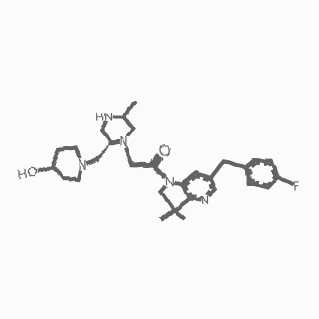 CC1CN(CC(=O)N2CC(C)(C)c3ncc(Cc4ccc(F)cc4)cc32)[C@@H](CN2CCC(O)CC2)CN1